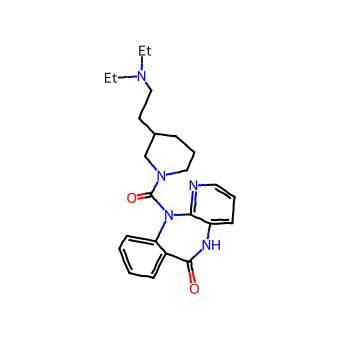 CCN(CC)CCC1CCCN(C(=O)N2c3ccccc3C(=O)Nc3cccnc32)C1